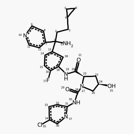 NC(CCC1CC1)(c1ccncc1)c1ccc(F)c(NC(=O)[C@H]2C[C@@H](O)CN2C(=O)Nc2ccc(Cl)cn2)c1